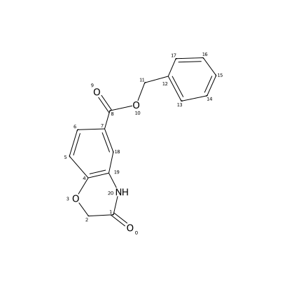 O=C1COc2ccc(C(=O)OCc3ccccc3)cc2N1